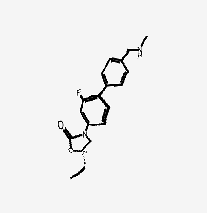 CC[C@H]1CN(c2ccc(-c3ccc(CNC)cc3)c(F)c2)C(=O)O1